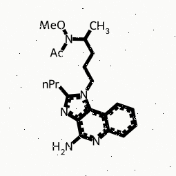 CCCc1nc2c(N)nc3ccccc3c2n1CCCC(C)N(OC)C(C)=O